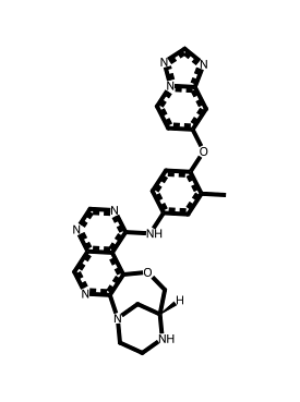 Cc1cc(Nc2ncnc3cnc4c(c23)OC[C@H]2CN4CCN2)ccc1Oc1ccn2ncnc2c1